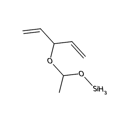 C=CC(C=C)OC(C)O[SiH3]